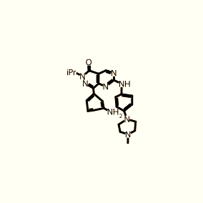 CC(C)n1nc(-c2cccc(N)c2)c2nc(Nc3ccc(N4CCN(C)CC4)cc3)ncc2c1=O